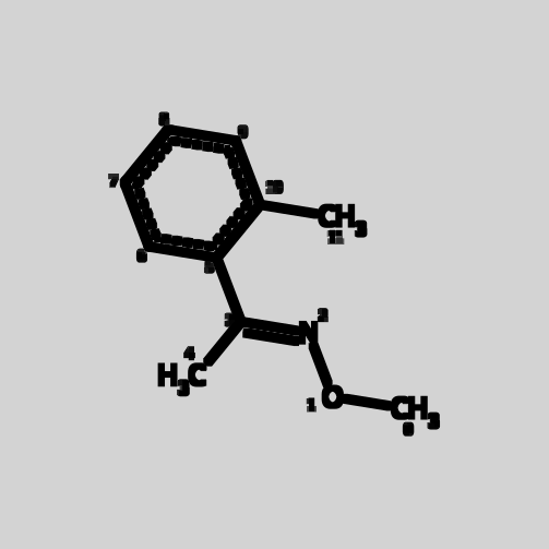 CON=C(C)c1ccccc1C